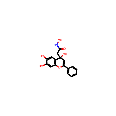 O=C(CC1(O)C=C(c2ccccc2)Oc2cc(O)c(O)cc21)NO